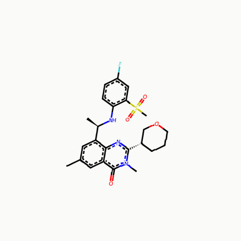 Cc1cc([C@@H](C)Nc2ccc(F)cc2S(C)(=O)=O)c2nc([C@H]3CCCOC3)n(C)c(=O)c2c1